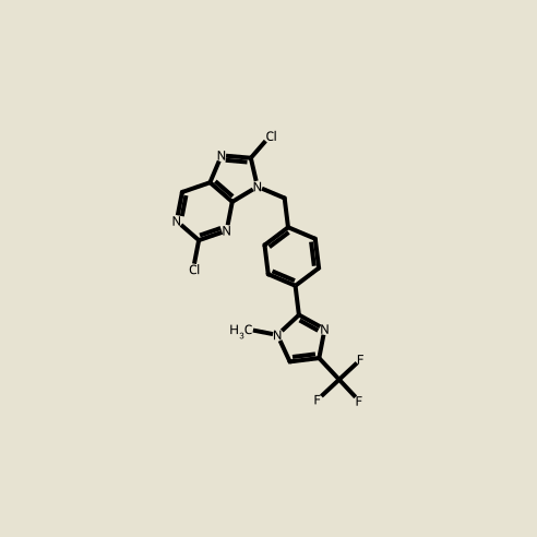 Cn1cc(C(F)(F)F)nc1-c1ccc(Cn2c(Cl)nc3cnc(Cl)nc32)cc1